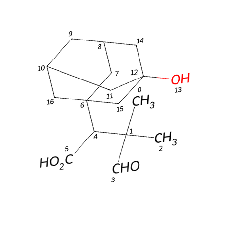 CC(C)(C=O)C(C(=O)O)C12CC3CC(CC(O)(C3)C1)C2